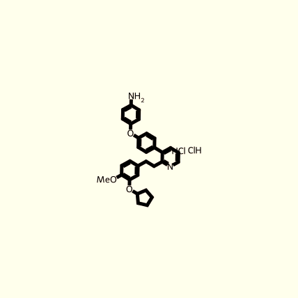 COc1ccc(CCc2ncccc2-c2ccc(Oc3ccc(N)cc3)cc2)cc1OC1CCCC1.Cl.Cl